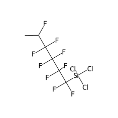 CC(F)C(F)(F)C(F)(F)C(F)(F)C(F)(F)[Si](Cl)(Cl)Cl